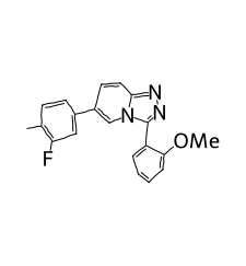 COc1ccccc1-c1nnc2ccc(-c3ccc(C)c(F)c3)cn12